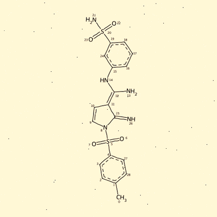 Cc1ccc(S(=O)(=O)N2C=C/C(=C(/N)Nc3cccc(S(N)(=O)=O)c3)C2=N)cc1